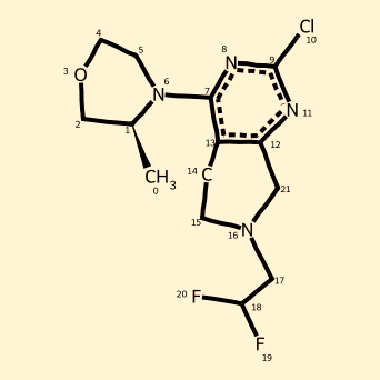 C[C@H]1COCCN1c1nc(Cl)nc2c1CCN(CC(F)F)C2